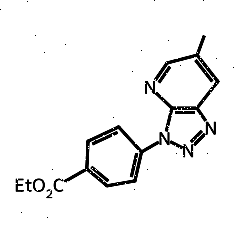 CCOC(=O)c1ccc(-n2nnc3cc(C)cnc32)cc1